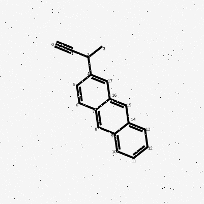 [C]#CC(C)c1ccc2cc3ccccc3cc2c1